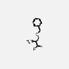 NC(COCc1ccccc1)C(F)F